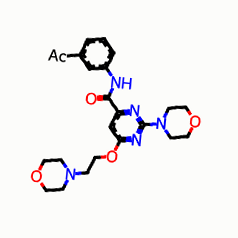 CC(=O)c1cccc(NC(=O)c2cc(OCCN3CCOCC3)nc(N3CCOCC3)n2)c1